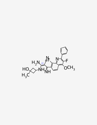 COc1c(F)c(-c2ccccc2)nc2c(F)c(C(=N)/C(C#N)=C(/N)NC3CC(C)(O)C3)ccc12